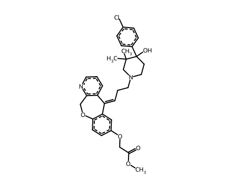 COC(=O)COc1ccc2c(c1)/C(=C/CCN1CCC(O)(c3ccc(Cl)cc3)C(C)(C)C1)c1cccnc1CO2